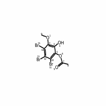 COc1c(O)c(OC(C)=O)c(Br)c(Br)c1Br